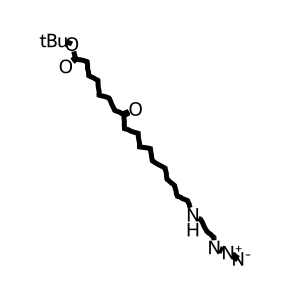 CC(C)(C)OC(=O)CCCCCCC(=O)CCCCCCCCCCNCCCN=[N+]=[N-]